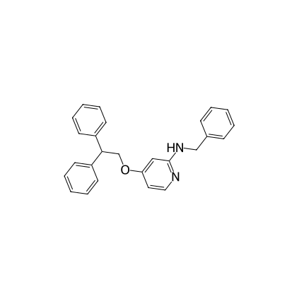 c1ccc(CNc2cc(OCC(c3ccccc3)c3ccccc3)ccn2)cc1